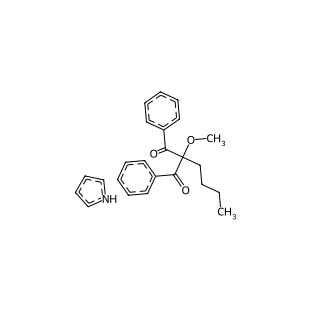 CCCCC(OC)(C(=O)c1ccccc1)C(=O)c1ccccc1.c1cc[nH]c1